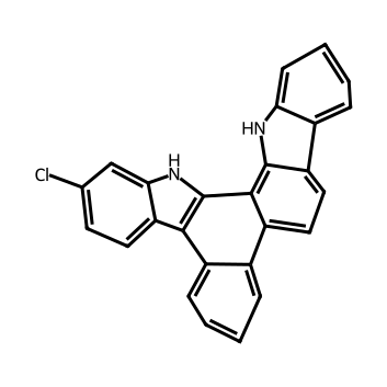 Clc1ccc2c(c1)[nH]c1c2c2ccccc2c2ccc3c4ccccc4[nH]c3c21